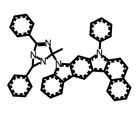 CC1(n2c3ccccc3c3cc4c5c6ccccc6ccc5n(-c5ccccc5)c4cc32)N=C(c2ccccc2)N2C(c3ccccc3)N21